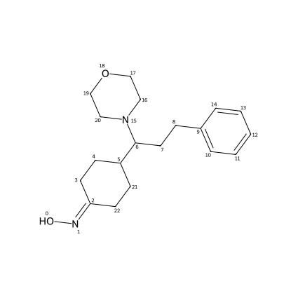 ON=C1CCC(C(CCc2ccccc2)N2CCOCC2)CC1